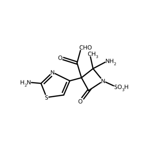 CC1(N)N(S(=O)(=O)O)C(=O)C1(C(=O)C=O)c1csc(N)n1